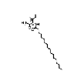 CCCCCCCCCCCCCCCCCC(=O)N[C@H](C(N)=O)[C@@H](C)CC